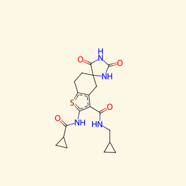 O=C1NC(=O)C2(CCc3sc(NC(=O)C4CC4)c(C(=O)NCC4CC4)c3C2)N1